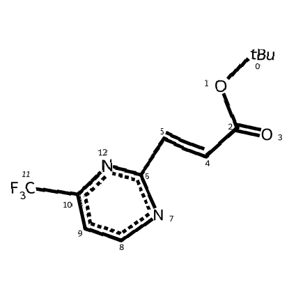 CC(C)(C)OC(=O)C=Cc1nccc(C(F)(F)F)n1